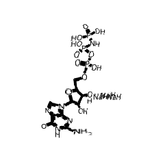 Nc1nc2c(ncn2C2OC(COP(=O)(O)OP(=O)(O)NP(=O)(O)O)C(O)C2O)c(=O)[nH]1.[NaH].[NaH].[NaH]